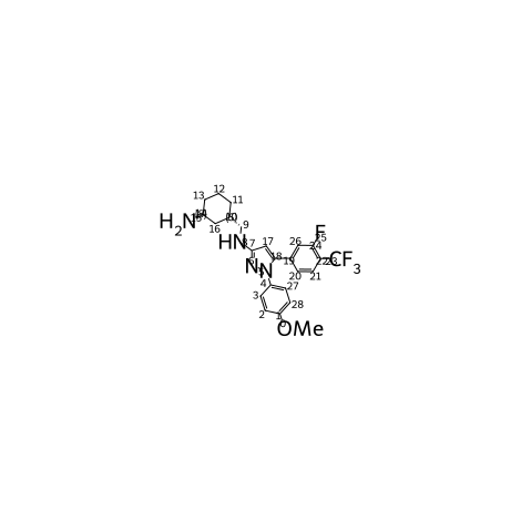 COc1ccc(-n2nc(NC[C@H]3CCC[C@H](N)C3)cc2-c2ccc(C(F)(F)F)c(F)c2)cc1